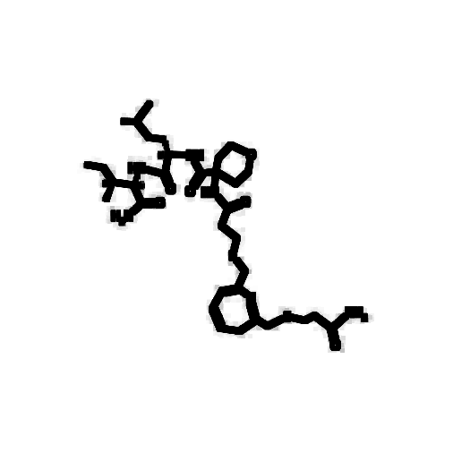 CC[C@H](C)[C@H](NC(=O)[C@H](CCC(C)C)NC(=O)C1(NC(=O)CCSCC2=CC=CCC(CSCCC(N)=O)=N2)CCOCC1)C(N)=O